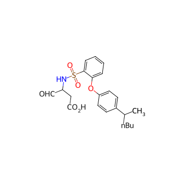 CCCCC(C)c1ccc(Oc2ccccc2S(=O)(=O)NC(C=O)CC(=O)O)cc1